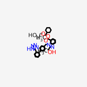 CC(O)c1nc2cccc(C(=O)OC(C)(OC(=O)O)C3CCCCC3)c2n1Cc1ccc(-c2ccccc2-c2nnn[nH]2)cc1